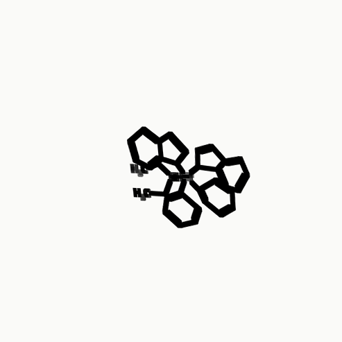 CC[SiH](CC)[Hf]([c]1ccccc1)([c]1ccccc1)([CH]1C=Cc2ccccc21)[CH]1C=Cc2ccccc21